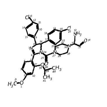 COc1ccc(C2=NC(c3ccc(Cl)cc3)C(c3ccc(Cl)cc3)N2C(=O)N2CCN(C(N)C=O)CC2)c(OC(C)C)c1